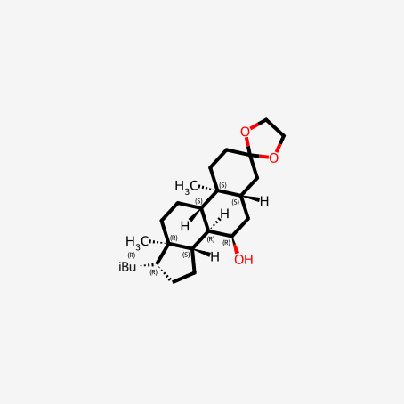 CC[C@@H](C)[C@H]1CC[C@H]2[C@@H]3[C@H](O)C[C@H]4CC5(CC[C@]4(C)[C@H]3CC[C@]12C)OCCO5